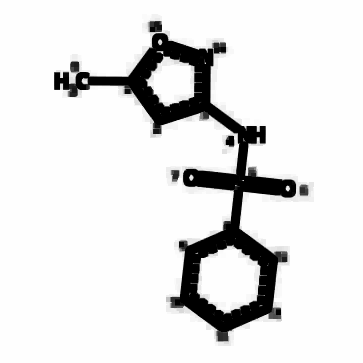 Cc1cc(NS(=O)(=O)c2cc[c]cc2)no1